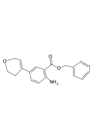 Nc1ccc(C2=CCOCC2)cc1C(=O)OCc1ccccc1